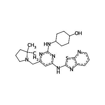 CC1(C)CCCN1Cc1cc(Nc2nc3cccnc3s2)nc(NC2CCC(O)CC2)n1